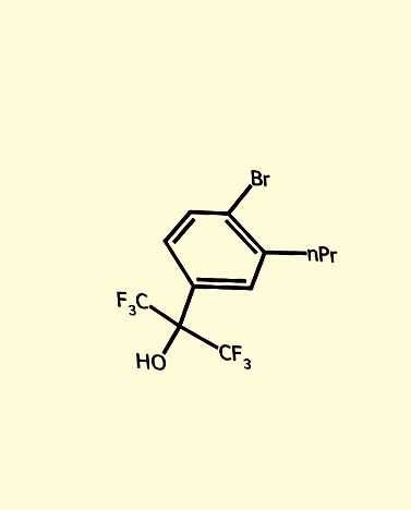 CCCc1cc(C(O)(C(F)(F)F)C(F)(F)F)ccc1Br